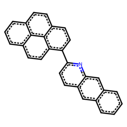 c1ccc2cc3nc(-c4ccc5ccc6cccc7ccc4c5c67)ccc3cc2c1